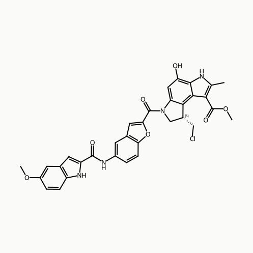 COC(=O)c1c(C)[nH]c2c(O)cc3c(c12)[C@H](CCl)CN3C(=O)c1cc2cc(NC(=O)c3cc4cc(OC)ccc4[nH]3)ccc2o1